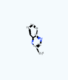 O=S(=O)(O)[13c]1[13cH]n[13c]2[13cH][13cH][13cH]cc2n1